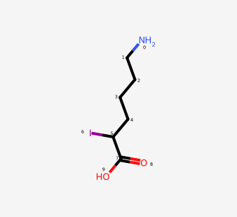 NCCCCC(I)C(=O)O